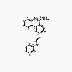 Nc1nc2ccccc2c2cc(C=CCc3ccccc3)cnc12